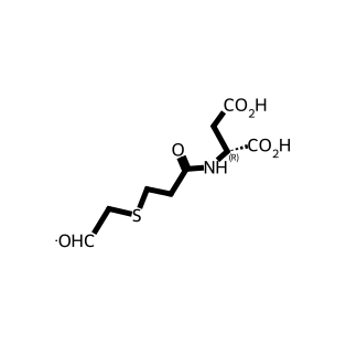 O=[C]CSCCC(=O)N[C@H](CC(=O)O)C(=O)O